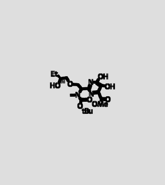 CC[C@H](O)COCC(c1nc(O)c(O)c(C(=O)OC)n1)N(C)C(=O)OC(C)(C)C